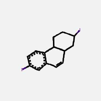 Ic1ccc2c(c1)C=CC1CC(I)CCC21